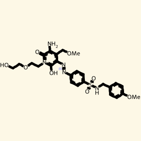 COCc1c(/N=N/c2ccc(S(=O)(=O)NCc3ccc(OC)cc3)cc2)c(O)n(CCOCCO)c(=O)c1N